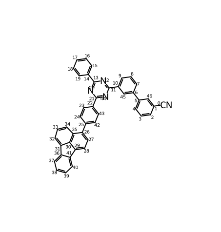 N#Cc1cccc(-c2cccc(-c3nc(-c4ccccc4)nc(-c4ccc(-c5ccc6c7c(cccc57)-c5ccccc5-6)cc4)n3)c2)c1